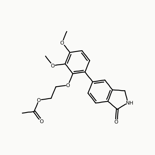 COc1ccc(-c2ccc3c(c2)CNC3=O)c(OCCOC(C)=O)c1OC